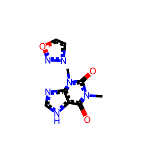 Cn1c(=O)c2[nH]cnc2n(C)c1=O.c1conn1